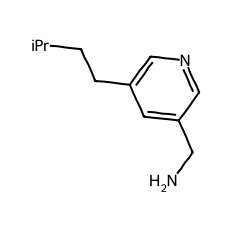 CC(C)CCc1cncc(CN)c1